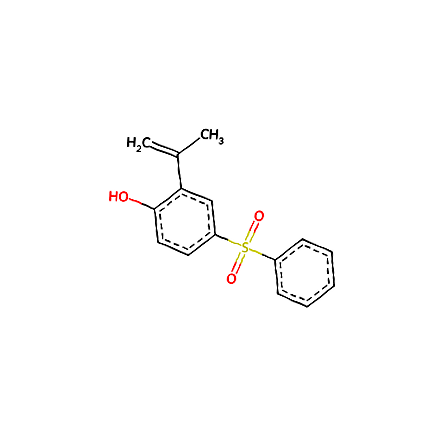 C=C(C)c1cc(S(=O)(=O)c2ccccc2)ccc1O